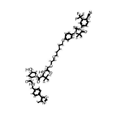 Cc1ncsc1-c1ccc(CNC(=O)[C@@H]2C[C@@H](O)CN2C(=O)C(NC(=O)COCCOCCCCCOc2ccc(N3C(=S)N(c4ccc(C#N)c(C(F)(F)F)c4)C(=O)C3(C)C)cc2)C(C)(C)C)cc1